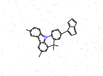 Cc1ccc2c(c1)c1cc(C)cc3c1n2-c1ccc(C2=CC=C4C=CC=C42)cc1C3(C)C